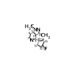 Cc1nn(C)c2ccnc(-c3ccc(F)cc3)c12